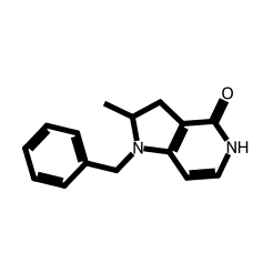 CC1Cc2c(cc[nH]c2=O)N1Cc1ccccc1